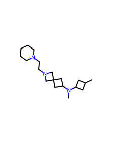 CC1CC(N(C)C2CC3(C2)CN(CCN2CCCCC2)C3)C1